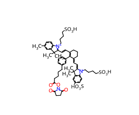 Cc1ccc2c(c1)C(C)(C)C(/C=C/C1=C(c3cccc(CCCCC(=O)ON4C(=O)CCC4=O)c3)C(=C/C=C3/N(CCCCS(=O)(=O)O)c4ccc(S(=O)(=O)O)cc4C3(C)C)/CCC1)=[N+]2CCCCS(=O)(=O)O